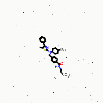 Cc1sc(N(Cc2ccc(C(=O)NCCC(=O)O)cc2)C2CCC(C(C)(C)C)CC2)nc1-c1ccccc1